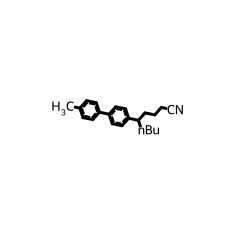 CCCCC(CCCC#N)c1ccc(-c2ccc(C)cc2)cc1